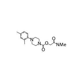 CNC(=O)COC(=O)N1CCN(c2ccc(C)cc2C)CC1